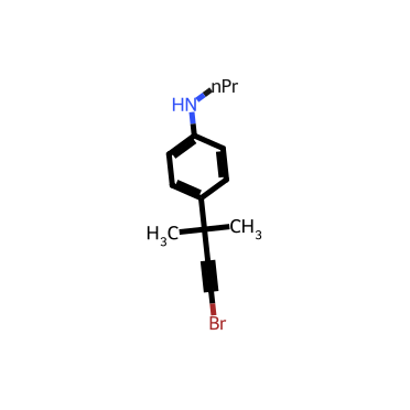 CCCNc1ccc(C(C)(C)C#CBr)cc1